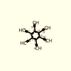 C#Cc1c(C#C)c(C#C)c(C#C)c(C#C)c1C#C